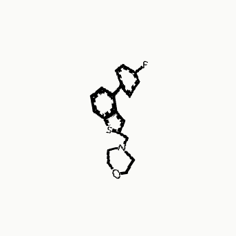 Fc1ccc(-c2cccc3sc(CN4CCOCC4)cc23)cc1